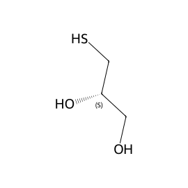 OC[C@H](O)CS